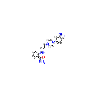 NC(=O)c1ccccc1NCCCN1CCN(c2cccc(N)c2)CC1